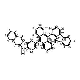 c1ccc2cc3c(cc2c1)[nH]c1ccc(-c2c4ccccc4c(-c4cccc5c4[nH]c4ccccc45)c4ccccc24)cc13